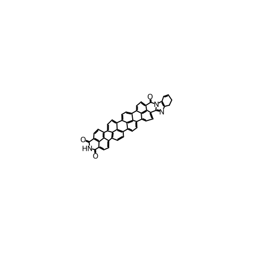 O=C1NC(=O)c2ccc3c4ccc5c6ccc7c8ccc9c%10c(ccc(c%11ccc(c%12ccc(c%13ccc1c2c%133)c4c%125)c6c%117)c8%10)c(=O)n1c2c(nc91)CCC=C2